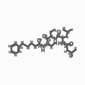 CCC(NC(=O)C(CC(C)C)NC(=O)CC(C)C)C(=O)N(CC)NC(=O)CCCCc1ccccc1